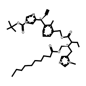 C#C[C@H](c1cn(C(=O)OC(C)(C)C)cn1)c1cccc(COC(=O)C(CC)[C@H](COC(=O)CCCCCCCCC)Cc2cncn2C)c1C